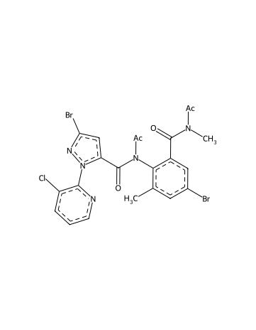 CC(=O)N(C)C(=O)c1cc(Br)cc(C)c1N(C(C)=O)C(=O)c1cc(Br)nn1-c1ncccc1Cl